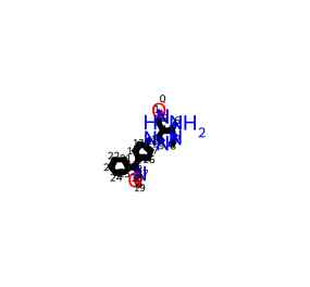 CON=Cc1c(N)ncnc1Nc1ccc(C(=NOC)c2ccccc2)cc1